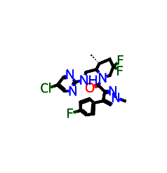 C[C@@H]1CC(F)(F)CN(C(=O)c2nn(C)cc2-c2ccc(F)cc2)C1CNc1ncc(Cl)cn1